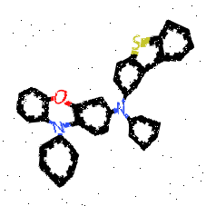 c1ccc(N(c2ccc3c(c2)Oc2ccccc2N3c2ccccc2)c2ccc3sc4ccccc4c3c2)cc1